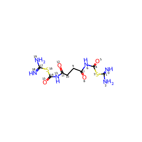 N=C(N)SC(=O)NC(=O)CCC(=O)NC(=O)SC(=N)N